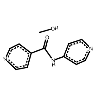 CO.O=C(Nc1ccncc1)c1ccncc1